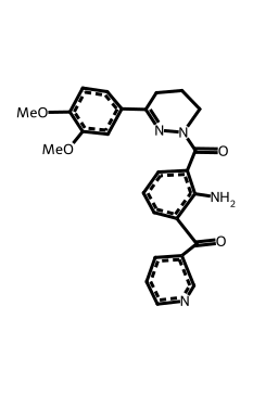 COc1ccc(C2=NN(C(=O)c3cccc(C(=O)c4cccnc4)c3N)CCC2)cc1OC